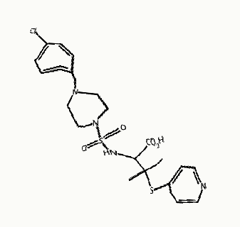 CC(C)(Sc1ccncc1)C(NS(=O)(=O)N1CCN(c2ccc(Cl)cc2)CC1)C(=O)O